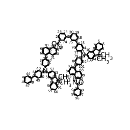 CC1(C)c2ccccc2-c2cc(N(c3ccc(-c4cccc(-c5cccc(-c6nc7ccc8c(-c9ccc(N(c%10ccc(-c%11ccccc%11)cc%10)c%10ccc%11c(c%10)-c%10ccccc%10C%11(C)C)cc9)cccc8c7o6)c5)c4)cc3)c3ccc(-c4cccc5c4ccc4oc(-c6ccccc6)nc45)cc3)ccc21